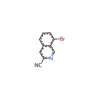 N#Cc1cc2cccc(Br)c2cn1